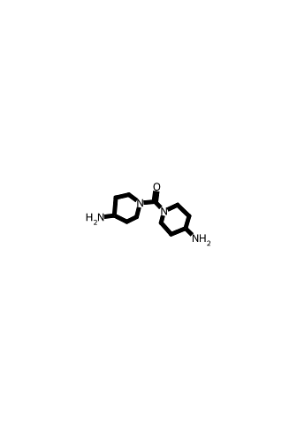 NC1CCN(C(=O)N2CCC(N)CC2)CC1